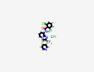 Cl.O=C(Nc1cccn2c(Sc3ccncc3)c(C(F)(F)F)nc12)c1c(Cl)cccc1Cl